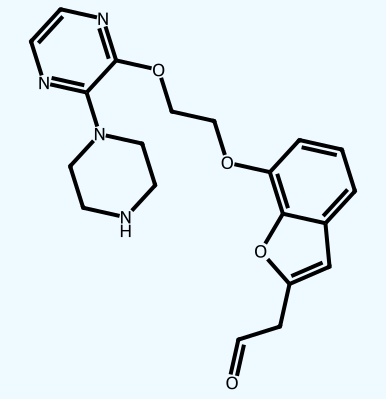 O=CCc1cc2cccc(OCCOc3nccnc3N3CCNCC3)c2o1